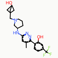 Cc1cc(N[C@@H]2CCCN(CC34CC(O)(C3)C4)C2)nnc1-c1ccc(C(F)(F)F)cc1O